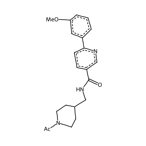 COc1cccc(-c2ccc(C(=O)NCC3CCN(C(C)=O)CC3)cn2)c1